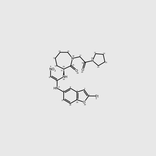 CCc1cc2cc(NC(=C[N+](=O)[O-])N[C@H]3CCCCN(CC(=O)N4CCCC4)C3=O)ccc2o1